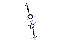 Cc1cc(C#C[Si](C)(C)C)cc(C)c1/N=N/c1c(C)cc(C#C[Si](C)(C)C)cc1C